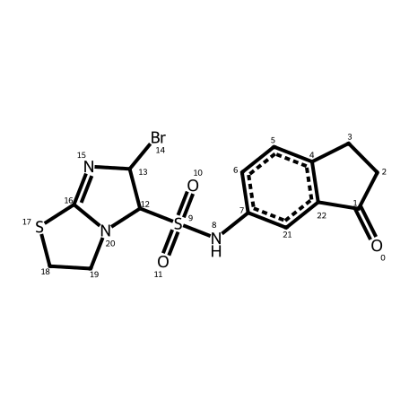 O=C1CCc2ccc(NS(=O)(=O)C3C(Br)N=C4SCCN43)cc21